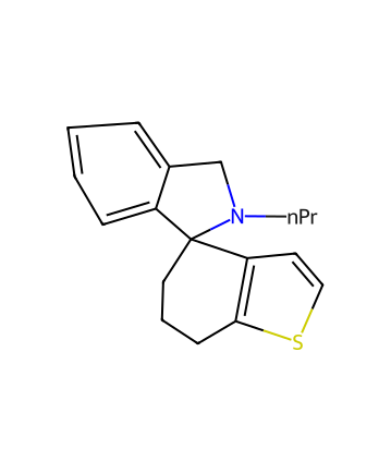 CCCN1Cc2ccccc2C12CCCc1sccc12